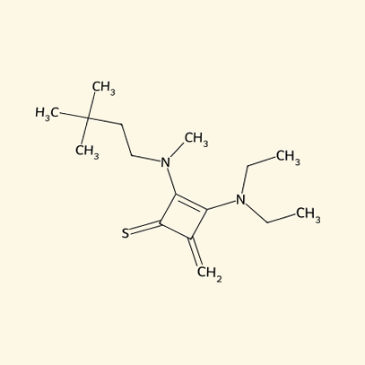 C=C1C(=S)C(N(C)CCC(C)(C)C)=C1N(CC)CC